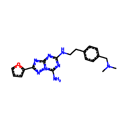 CN(C)Cc1ccc(CCNc2nc(N)n3nc(-c4ccco4)nc3n2)cc1